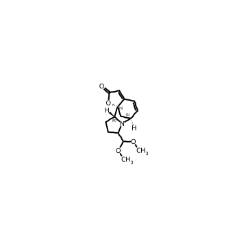 COC(OC)C1CC[C@H]2N1[C@@H]1C=CC3=CC(=O)O[C@@]32C1